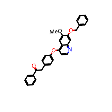 COc1cc2c(Oc3ccc(CC(=O)c4ccccc4)cc3)ccnc2cc1OCc1ccccc1